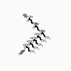 CCCC(=O)O.CCCC(=O)O.CCCC(=O)O.CCCC(=O)O.CCCC(=O)O.CCCC(=O)O.CCCC(=O)O.F.F.F.F.F.F.F